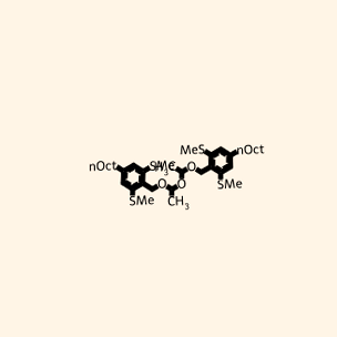 CCCCCCCCc1cc(SC)c(COC(C)OC(C)OCc2c(SC)cc(CCCCCCCC)cc2SC)c(SC)c1